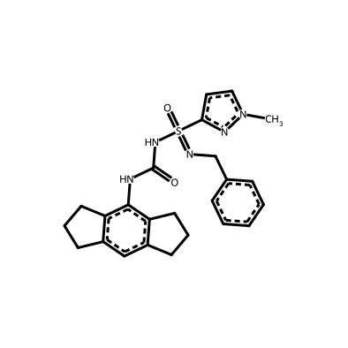 Cn1ccc(S(=O)(=NCc2ccccc2)NC(=O)Nc2c3c(cc4c2CCC4)CCC3)n1